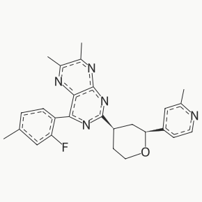 Cc1ccc(-c2nc([C@@H]3CCO[C@H](c4ccnc(C)c4)C3)nc3nc(C)c(C)nc23)c(F)c1